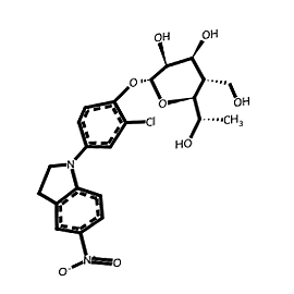 C[C@H](O)[C@H]1O[C@H](Oc2ccc(N3CCc4cc([N+](=O)[O-])ccc43)cc2Cl)[C@@H](O)[C@@H](O)[C@@H]1CO